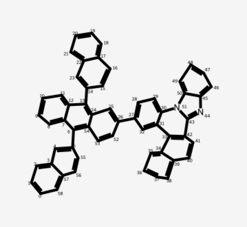 c1ccc2cc(-c3c4ccccc4c(-c4ccc5ccccc5c4)c4cc(-c5ccc6c(c5)c5c7ccccc7ccc5c5nc7ccccc7n65)ccc34)ccc2c1